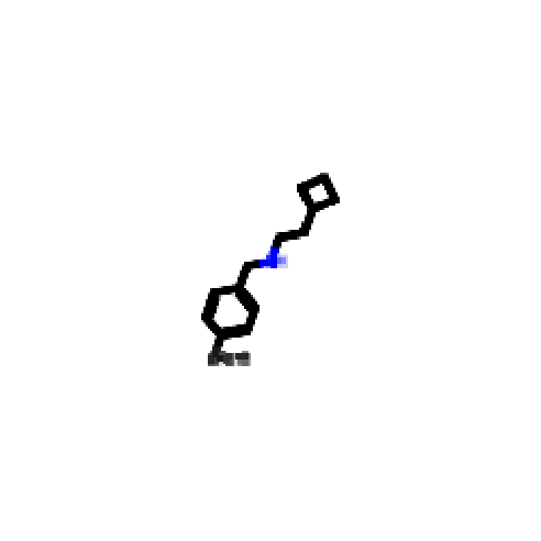 CCCCCc1ccc(CNCCC2CCC2)cc1